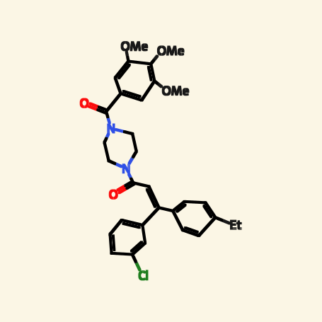 CCc1ccc(C(=CC(=O)N2CCN(C(=O)c3cc(OC)c(OC)c(OC)c3)CC2)c2cccc(Cl)c2)cc1